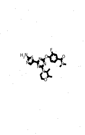 CC1OCCN(c2nc(Oc3ccc(C(=O)N(C)C)cc3F)nc(-c3cnc(N)s3)n2)C1C